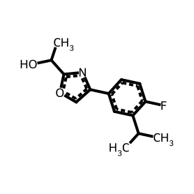 CC(C)c1cc(-c2coc(C(C)O)n2)ccc1F